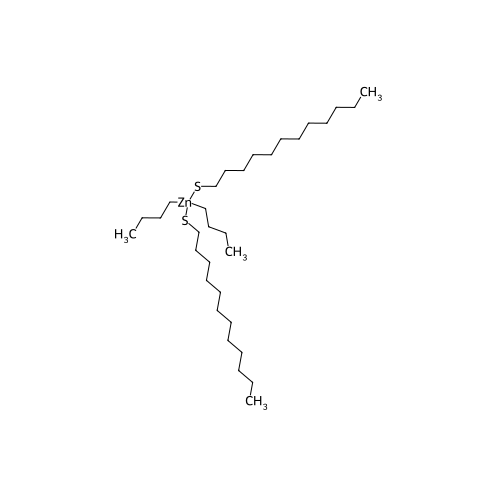 CCCCCCCCCCCC[S][Zn]([CH2]CCC)([CH2]CCC)[S]CCCCCCCCCCCC